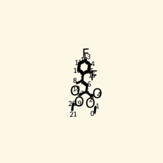 CCOC(=O)C(C=C(C)c1ccc(F)cc1F)C(=O)OCC